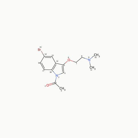 CC(=O)n1cc(OCCN(C)C)c2cc(Br)ccc21